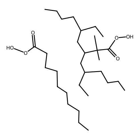 CCCCC(CC)CC(CC(CC)CCCC)C(C)(C)C(=O)OO.CCCCCCCCCC(=O)OO